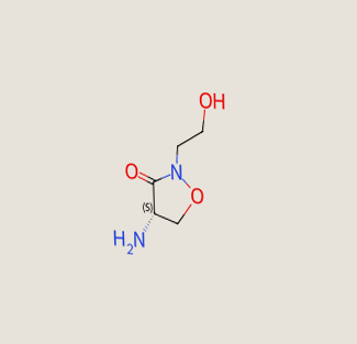 N[C@H]1CON(CCO)C1=O